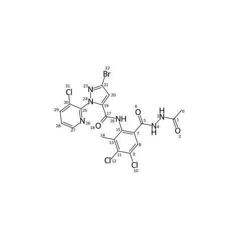 CC(=O)NNC(=O)c1cc(Cl)c(Cl)c(C)c1NC(=O)c1cc(Br)nn1-c1ncccc1Cl